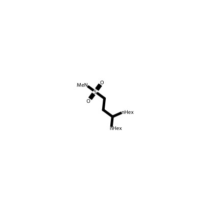 CCCCCCC(CCCCCC)CCS(=O)(=O)NC